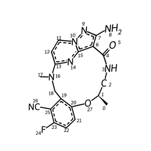 C[C@@H]1CNC(=O)c2c(N)nn3ccc(nc23)N(C)Cc2c(ccc(F)c2C#N)O1